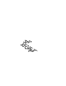 [Cu+2].[O-2].[Ru+3].[Zn+2]